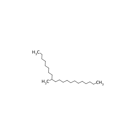 CCCCCCCCCCCCC(C)CCCCCCCC